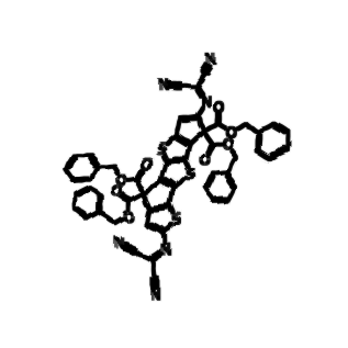 N#CC(C#N)=NC1=Cc2sc3c4c(sc3c2C1(C(=O)OCc1ccccc1)C(=O)OCc1ccccc1)-c1sc(N=C(C#N)C#N)cc1C4(C(=O)OCc1ccccc1)C(=O)OCc1ccccc1